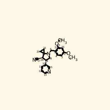 COc1ccc(CN2C[C@@H](c3cccnc3)[C@@H](C#N)C23CC3)c(OC)c1